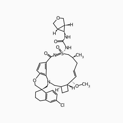 CO[C@H]1/C=C/C[C@H](C)C[S@@](=O)(NC(=O)N[C@H]2[C@@H]3COC[C@@H]32)=NC(=O)c2ccc3c(c2)N(C[C@@H]2CC[C@H]21)C[C@@]1(CCCc2cc(Cl)ccc21)CO3